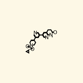 CN1C(=O)CCc2cc(-c3cncc(C4=CCN(S(=O)(=O)C5CC5)CC4)c3)cnc21